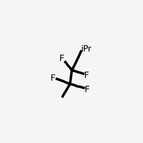 CC(C)C(F)(F)C(C)(F)F